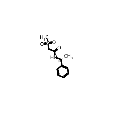 C[C@@H](NC(=O)CS(C)(=O)=O)c1ccccc1